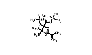 C=C(C)C(=O)OC(O[Si](C)(C)C)(C(O)O[Si](C)(C)C)C([SiH3])(CCC)OC